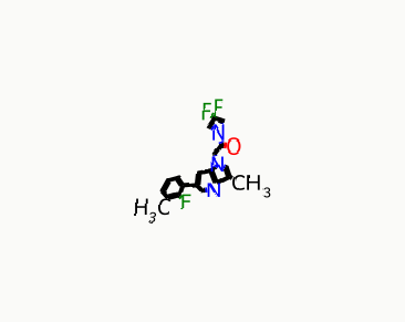 Cc1cccc(-c2cnc3c(C)cn(CC(=O)N4CC(F)(F)C4)c3c2)c1F